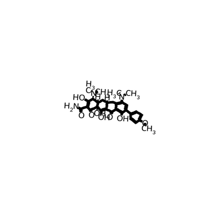 COc1ccc(-c2cc(N(C)C)c3c(c2O)C(=O)C2=C(O)[C@]4(O)C(=O)C(C(N)=O)=C(O)[C@@H](N(C)C)[C@@H]4C[C@@H]2C3)cc1